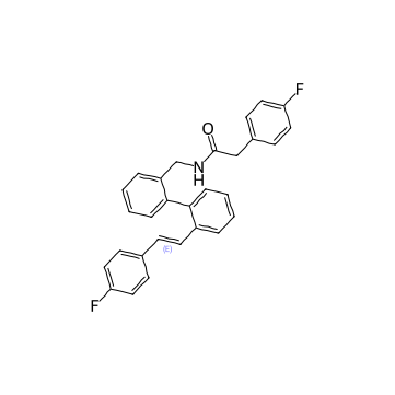 O=C(Cc1ccc(F)cc1)NCc1ccccc1-c1ccccc1/C=C/c1ccc(F)cc1